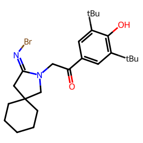 CC(C)(C)c1cc(C(=O)CN2CC3(CCCCC3)C/C2=N/Br)cc(C(C)(C)C)c1O